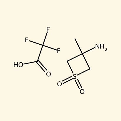 CC1(N)CS(=O)(=O)C1.O=C(O)C(F)(F)F